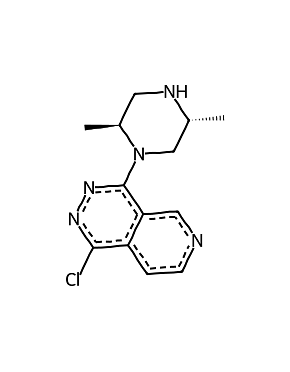 C[C@@H]1CN(c2nnc(Cl)c3ccncc23)[C@@H](C)CN1